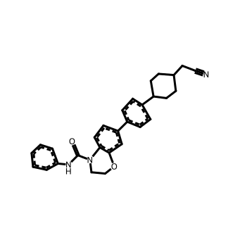 N#CCC1CCC(c2ccc(-c3ccc4c(c3)OCCN4C(=O)Nc3ccccc3)cc2)CC1